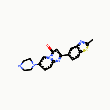 Cc1nc2cc(-c3cc(=O)n4cc(N5CCNCC5)ccc4n3)ccc2s1